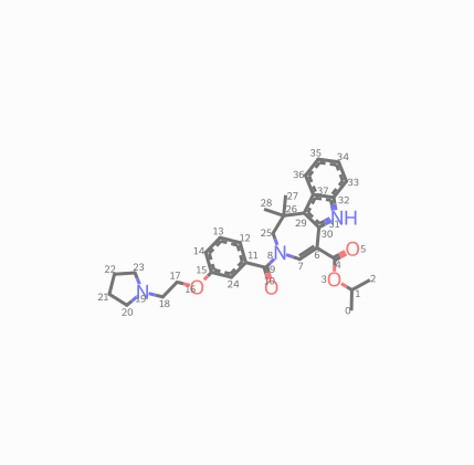 CC(C)OC(=O)C1=CN(C(=O)c2cccc(OCCN3CCCC3)c2)CC(C)(C)c2c1[nH]c1ccccc21